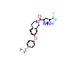 O=C(c1cc(C(F)F)[nH]n1)N1CCc2ccc(Oc3ccc(C(F)(F)F)cc3)cc2C1